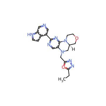 CCc1nnc(CN2C[C@@H]3COCCN3c3nc(-c4cncc5[nH]ccc45)ncc32)o1